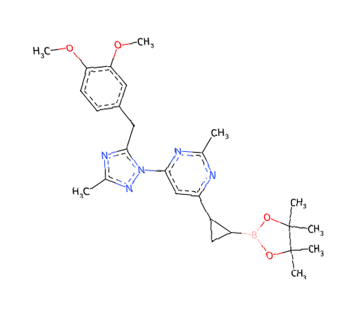 COc1ccc(Cc2nc(C)nn2-c2cc(C3CC3B3OC(C)(C)C(C)(C)O3)nc(C)n2)cc1OC